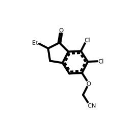 CCC1Cc2cc(OCC#N)c(Cl)c(Cl)c2C1=O